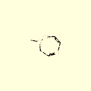 CN1CC=NC=CN1